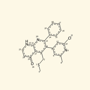 CSCc1c(-c2cc(C)nc(Cl)c2)c(-c2ccccc2)nc2[nH]ccc(=O)c12